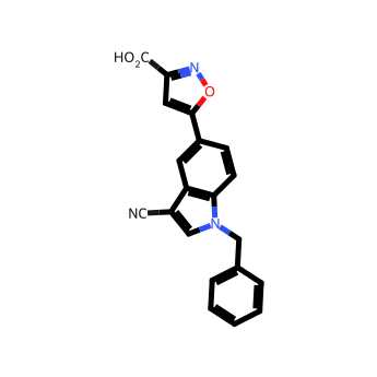 N#Cc1cn(Cc2ccccc2)c2ccc(-c3cc(C(=O)O)no3)cc12